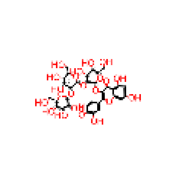 O=c1c(O[C@@H]2O[C@H](CO)[C@@H](O)[C@H](O)[C@H]2O[C@@H]2O[C@H](CO)[C@@H](O)[C@H](O)[C@H]2O[C@@H]2O[C@H](CO)[C@@H](O)[C@H](O)[C@H]2O)c(-c2ccc(O)c(O)c2)oc2cc(O)cc(O)c12